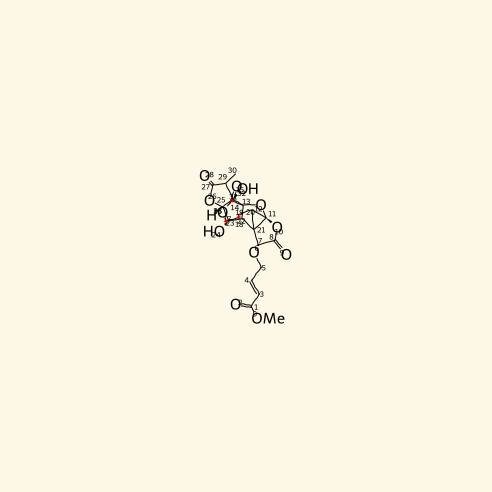 COC(=O)/C=C/CO[C@H]1C(=O)O[C@]23OC45C(=O)OC6CCC2C13[C@@]64[C@@H](O)[C@@H]1OC(=O)C(C)[C@@]15O